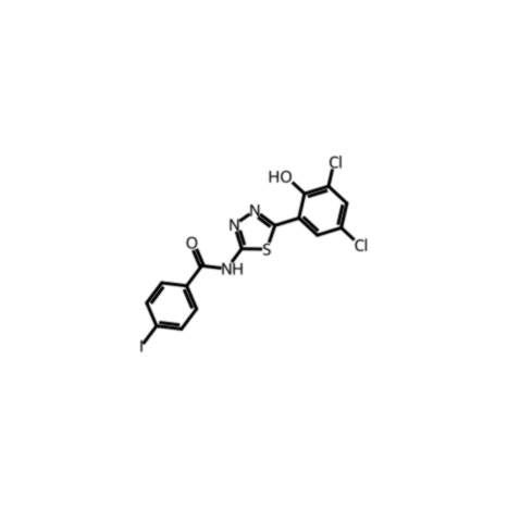 O=C(Nc1nnc(-c2cc(Cl)cc(Cl)c2O)s1)c1ccc(I)cc1